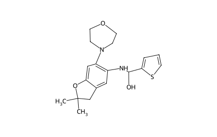 CC1(C)Cc2cc(NC(O)c3cccs3)c(N3CCOCC3)cc2O1